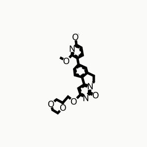 COc1ccc(-c2ccc3c(c2)CCn2c-3cc(OCC3COCCO3)nc2=O)c(OC)n1